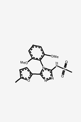 COc1cccc(OC)c1-n1c(NS(C)(=O)=O)nnc1-c1ccc(C)o1